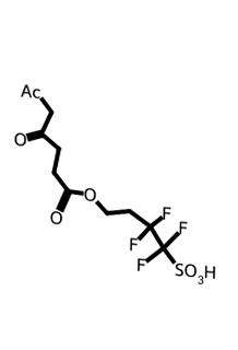 CC(=O)CC(=O)CCC(=O)OCCC(F)(F)C(F)(F)S(=O)(=O)O